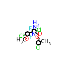 COc1c(Cl)ccc(-c2nc(C(=O)OCc3ccc(Cl)cc3C)c(Cl)c(N)c2F)c1F